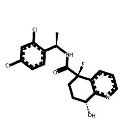 C[C@@H](NC(=O)[C@@]1(F)CC[C@@H](O)c2ncccc21)c1ccc(Cl)cc1Cl